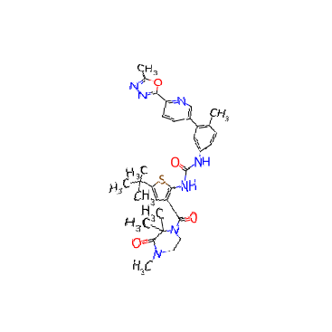 Cc1nnc(-c2ccc(-c3cc(NC(=O)Nc4sc(C(C)(C)C)cc4C(=O)N4CCN(C)C(=O)C4(C)C)ccc3C)cn2)o1